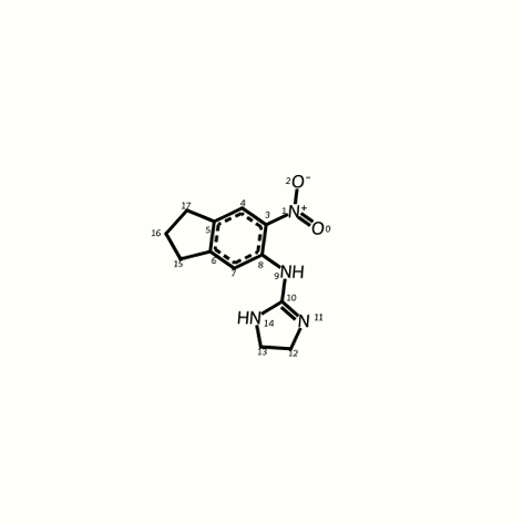 O=[N+]([O-])c1cc2c(cc1NC1=NCCN1)CCC2